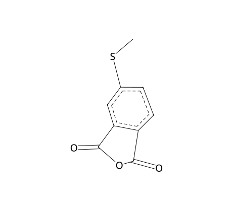 CSc1ccc2c(c1)C(=O)OC2=O